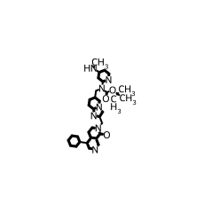 CNc1ccnc(N(Cc2ccc3nc(Cn4ccc5c(-c6ccccc6)cncc5c4=O)cn3c2)C(=O)OC(C)(C)C)c1